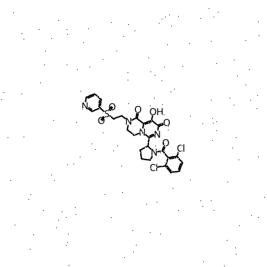 O=C1c2c(O)c(=O)nc(C3CCCN3C(=O)c3c(Cl)cccc3Cl)n2CCN1CCS(=O)(=O)c1cccnc1